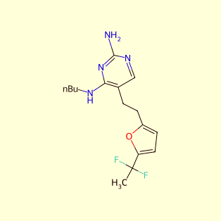 CCCCNc1nc(N)ncc1CCc1ccc(C(C)(F)F)o1